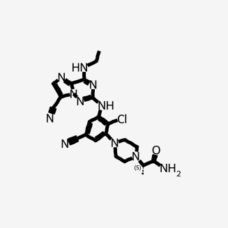 CCNc1nc(Nc2cc(C#N)cc(N3CCN([C@@H](C)C(N)=O)CC3)c2Cl)nn2c(C#N)cnc12